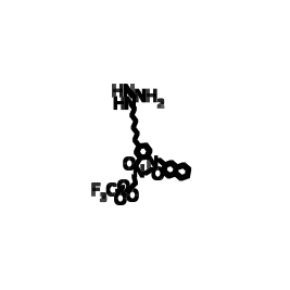 N=C(N)NCCCCCCc1ccc2c(c1)C(=O)N(CCC(=O)OC(=O)C(F)(F)F)CC(=O)N2Cc1ccc2ccccc2c1